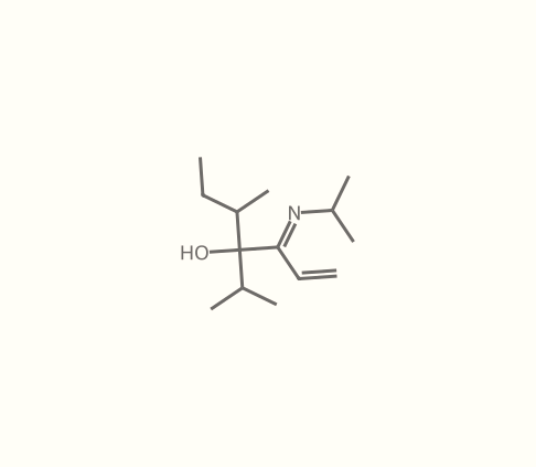 C=C/C(=N\C(C)C)C(O)(C(C)C)C(C)CC